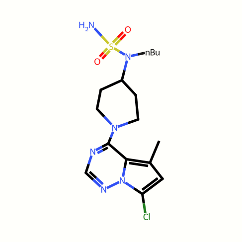 CCCCN(C1CCN(c2ncnn3c(Cl)cc(C)c23)CC1)S(N)(=O)=O